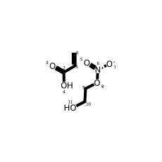 C=CC(=O)O.O=[N+]([O-])OCCO